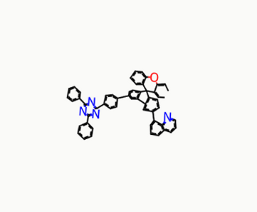 C/C=C1\C(=C/C)Oc2ccccc2C12c1ccc(-c3ccc(-c4nc(-c5ccccc5)nc(-c5ccccc5)n4)cc3)cc1-c1cc(-c3cccc4cccnc34)ccc12